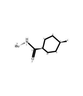 CC[C@@H](C)NC(=O)[C@H]1CC[C@@H](C)CC1